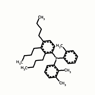 CCCCc1ccc(P(c2ccccc2C)c2cccc(C)c2C)c(CCCC)c1CCCC